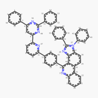 c1ccc(-c2cc(-c3cccc(-c4ccc(-c5nc6ccccc6c6ccc7c(nc(-c8ccccc8)n7-c7ccccc7)c56)cc4)n3)nc(-c3ccccc3)n2)cc1